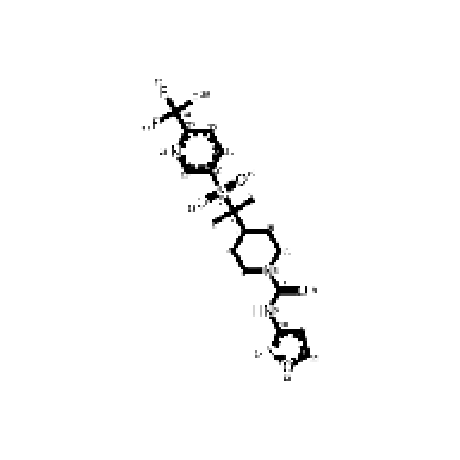 CC(C)(C1CCN(C(=O)Nc2ccon2)CC1)S(=O)(=O)c1ccc(C(F)(F)F)nc1